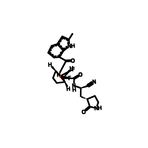 Cc1cc2cccc(C(=O)N3[C@H]4CC[C@@H]([C@H]3C(=O)N[C@@H](C#N)C[C@@H]3CCNC3=O)C(F)(F)C4)c2[nH]1